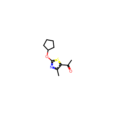 CC(=O)c1sc(OC2CCCC2)nc1C